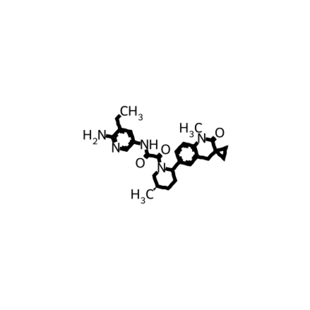 CCc1cc(NC(=O)C(=O)N2C[C@@H](C)CCC2c2ccc3c(c2)CC2(CC2)C(=O)N3C)cnc1N